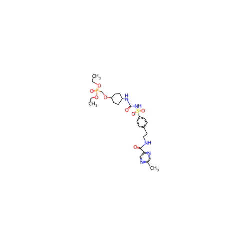 CCOP(=O)(COC1CCC(NC(=O)NS(=O)(=O)c2ccc(CCNC(=O)c3cnc(C)cn3)cc2)CC1)OCC